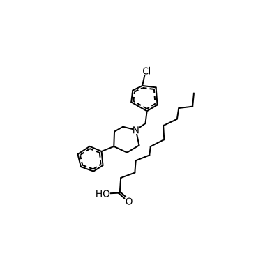 CCCCCCCCCCCC(=O)O.Clc1ccc(CN2CCC(c3ccccc3)CC2)cc1